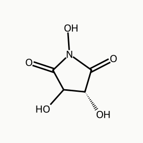 O=C1C(O)[C@@H](O)C(=O)N1O